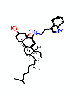 CC(C)CCC[C@@H](C)[C@H]1CC[C@H]2C3=CC(NCCc4c[nH]c5ccccc45)C4(O)CC(O)CC[C@]4(C)[C@H]3CC[C@]12C